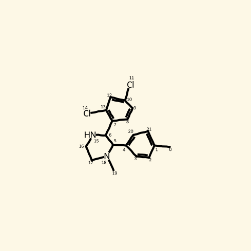 Cc1ccc(C2C(c3ccc(Cl)cc3Cl)N[CH]CN2C)cc1